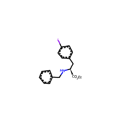 CCOC(=O)[C@H](Cc1ccc(I)cc1)NCc1ccccc1